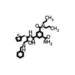 CCCN(CCC)C(=O)c1cc(C(N)=O)cc(C(=O)N[C@@H](Cc2cccs2)[C@H](O)CNCc2ccccc2)c1